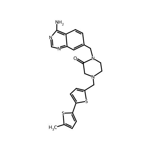 Cc1ccc(-c2ccc(CN3CCN(Cc4ccc5c(N)ncnc5c4)C(=O)C3)s2)s1